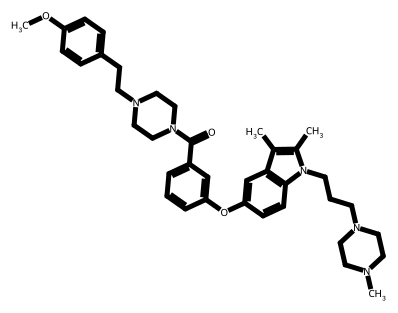 COc1ccc(CCN2CCN(C(=O)c3cccc(Oc4ccc5c(c4)c(C)c(C)n5CCCN4CCN(C)CC4)c3)CC2)cc1